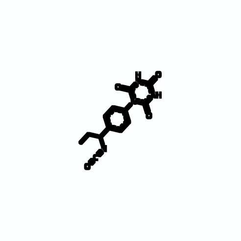 CCC(N=C=O)c1ccc(-n2c(=O)[nH]c(=O)[nH]c2=O)cc1